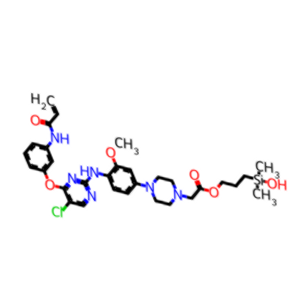 C=CC(=O)Nc1cccc(Oc2nc(Nc3ccc(N4CCN(CC(=O)OCCC[Si](C)(C)O)CC4)cc3OC)ncc2Cl)c1